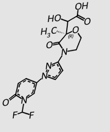 C[C@]1(C(O)C(=O)O)OCCN(c2ccn(-c3ccc(=O)n(C(F)F)c3)n2)C1=O